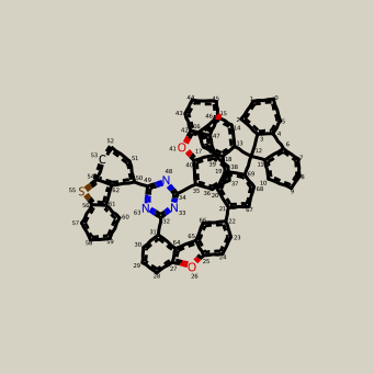 c1ccc2c(c1)-c1ccccc1C21c2ccccc2-c2cc(-c3ccc4oc5cccc(-c6nc(-c7cccc8c7oc7ccccc78)nc(-c7cccc8sc9ccccc9c78)n6)c5c4c3)ccc21